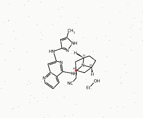 CCO.Cc1cc(Nc2cc3ncccc3c(N[C@H]3C[C@H]4CC[C@@H](C3)N4CCC#N)n2)n[nH]1